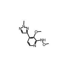 CONc1nccc(-c2cnn(C)n2)c1OC